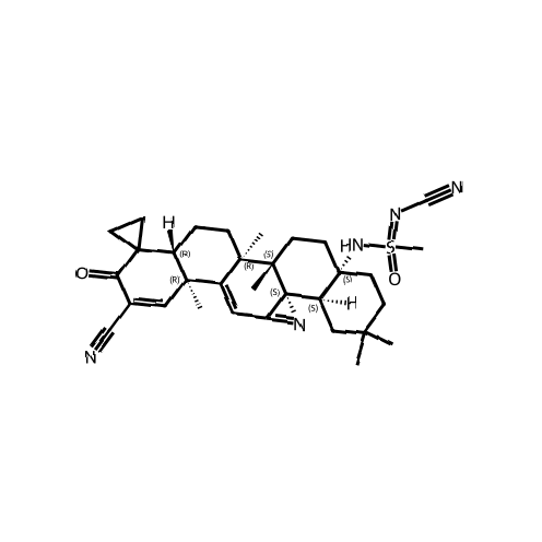 CC1(C)CC[C@]2(NS(C)(=O)=NC#N)CC[C@@]3(C)[C@]4(C)CC[C@H]5C6(CC6)C(=O)C(C#N)=C[C@]5(C)C4=CC4=N[C@]43[C@@H]2C1